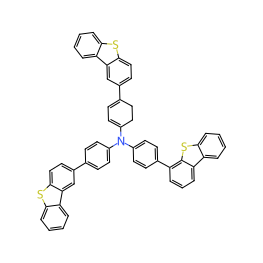 C1=C(c2ccc3sc4ccccc4c3c2)CCC(N(c2ccc(-c3ccc4sc5ccccc5c4c3)cc2)c2ccc(-c3cccc4c3sc3ccccc34)cc2)=C1